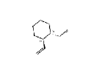 C=C[C@H]1CCCC[C@@H]1CBr